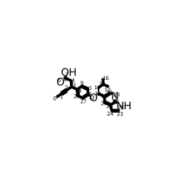 CC#CC(CC(=O)O)c1ccc(O[C@@H](CC(C)C)c2cnc3[nH]ccc3c2)cc1